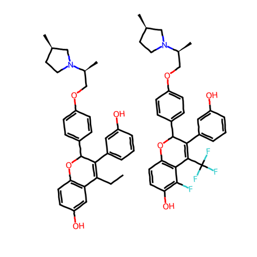 CCC1=C(c2cccc(O)c2)C(c2ccc(OC[C@H](C)N3CC[C@@H](C)C3)cc2)Oc2ccc(O)cc21.C[C@@H]1CCN([C@@H](C)COc2ccc(C3Oc4ccc(O)c(F)c4C(C(F)(F)F)=C3c3cccc(O)c3)cc2)C1